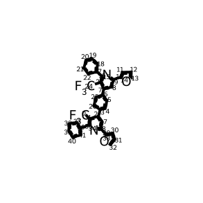 FC(F)(F)c1c(-c2ccc(-c3cc(-c4ccco4)nc(-c4ccccc4)c3C(F)(F)F)cc2)cc(-c2ccco2)nc1-c1ccccc1